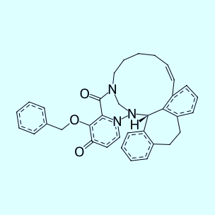 O=C1c2c(OCc3ccccc3)c(=O)ccn2N2CN1CCCC/C=C\c1cccc3c1[C@@H]2c1ccccc1CC3